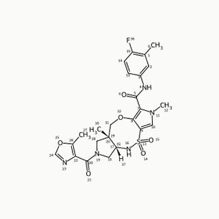 Cc1cc(NC(=O)c2c3c(cn2C)S(=O)(=O)N[C@@H]2CN(C(=O)c4ncoc4C)C[C@]2(C)CO3)ccc1F